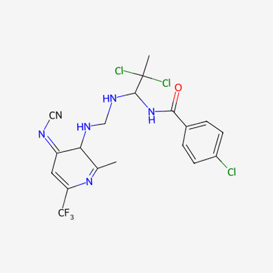 CC1=NC(C(F)(F)F)=CC(=NC#N)C1NCNC(NC(=O)c1ccc(Cl)cc1)C(C)(Cl)Cl